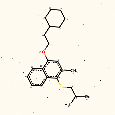 CCC(C)C(C)CSc1c(C)cc(OCCC2CCCCC2)c2ccccc12